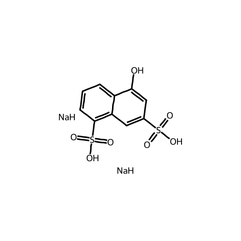 O=S(=O)(O)c1cc(O)c2cccc(S(=O)(=O)O)c2c1.[NaH].[NaH]